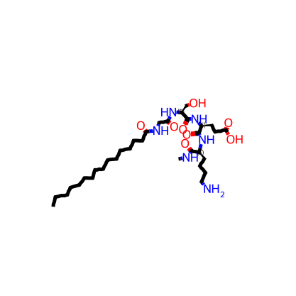 CCCCCCCCCCCCCCCC(=O)NCC(=O)N[C@@H](CO)C(=O)N[C@@H](CCC(=O)O)C(=O)N[C@@H](CCCCN)C(=O)NC